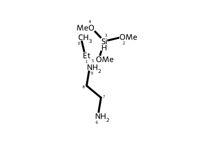 CCC.CO[SiH](OC)OC.NCCN